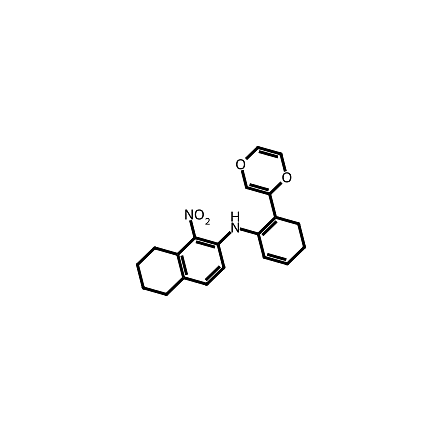 O=[N+]([O-])c1c(NC2=C(C3=COC=CO3)CCC=C2)ccc2c1CCCC2